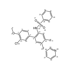 COc1ccc(-c2cc(F)c(F)cc2NS(=O)(=O)c2ccccc2)cc1Cl.c1ccncc1